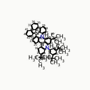 CC(C)(C)c1cc(N2c3cc(C(C)(C)C)ccc3B3c4cccc5c4N(c4ccccc4[Si]5(c4ccccc4)c4ccccc4)c4cc(C(C)(C)C)cc2c43)cc(C(C)(C)C)c1